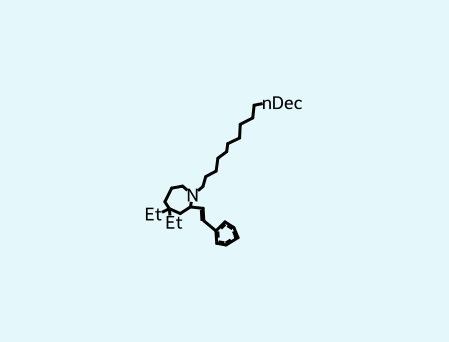 CCCCCCCCCCCCCCCCCCCCN1CCCC(CC)(CC)CC1C=Cc1ccccc1